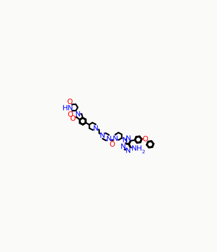 Nc1ncnc2c1c(-c1ccc(Oc3ccccc3)cc1)nn2[C@@H]1CCCN(C(=O)N2CCN(CCN3CCC(c4ccc5c(c4)CN(C4CCC(=O)NC4=O)C5=O)CC3)CC2)C1